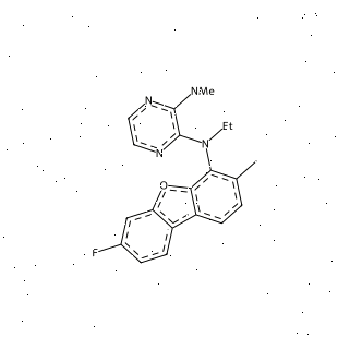 CCN(c1nccnc1NC)c1c(C)ccc2c1oc1cc(F)ccc12